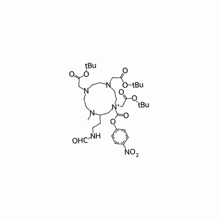 CN1CCN(CC(=O)OC(C)(C)C)CCN(CC(=O)OC(C)(C)C)CC[N+](CC(=O)OC(C)(C)C)(C(=O)Oc2ccc([N+](=O)[O-])cc2)CC1CCNC=O